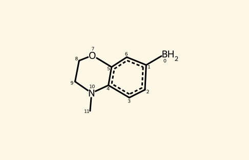 Bc1ccc2c(c1)OCCN2C